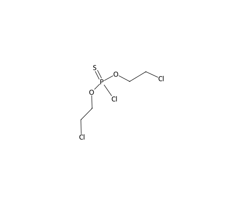 S=P(Cl)(OCCCl)OCCCl